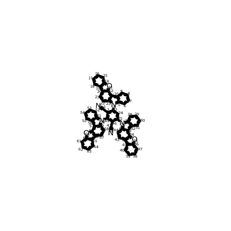 N#Cc1c(-n2c3ccccc3c3c4oc5ccccc5c4ccc32)cc(-n2c3ccccc3c3c4oc5ccccc5c4ccc32)c(C#N)c1-n1c2ccccc2c2c3oc4ccccc4c3ccc21